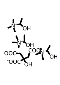 CC(O)[N+](C)(C)C.CC(O)[N+](C)(C)C.CC(O)[N+](C)(C)C.O=C([O-])CC(O)(CC(=O)[O-])C(=O)[O-]